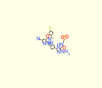 CC(NC(=O)c1cc(C#N)cnc1NCc1ccc(-c2cnc(N)c(C(=O)NCCCS(C)(=O)=O)n2)cc1)c1ccc(F)cc1